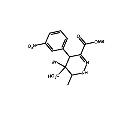 COC(=O)C1=NNC(C)C(C(=O)O)(C(C)C)C1c1cccc([N+](=O)[O-])c1